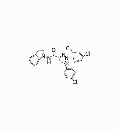 O=C(NN1CCc2ccccc21)C1=NN(c2ccc(Cl)cc2Cl)[C@@H](c2ccc(Cl)cc2)C1